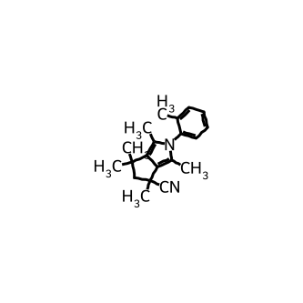 Cc1ccccc1-n1c(C)c2c(c1C)C(C)(C#N)CC2(C)C